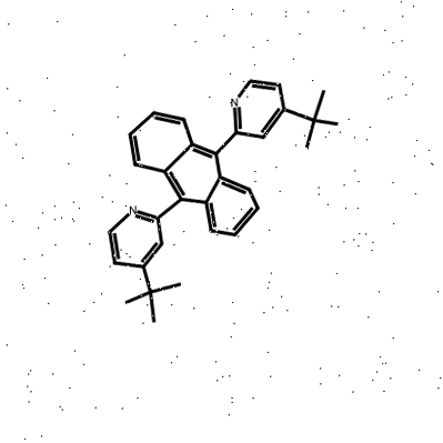 CC(C)(C)c1ccnc(-c2c3ccccc3c(-c3cc(C(C)(C)C)ccn3)c3ccccc23)c1